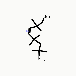 CC(C)(C)CC(C)(C)/C=C\C(C)(C)CC(C)(C)N